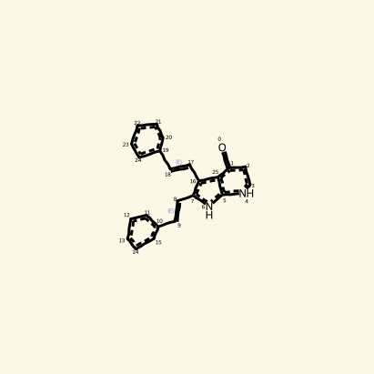 O=c1cc[nH]c2[nH]c(/C=C/c3ccccc3)c(/C=C/c3ccccc3)c12